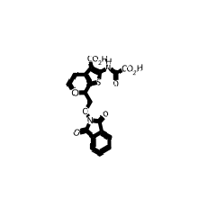 O=C(O)C(=O)Nc1sc2c(c1C(=O)O)CCOC2CON1C(=O)c2ccccc2C1=O